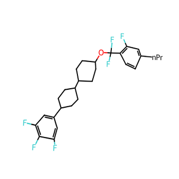 CCCc1ccc(C(F)(F)OC2CCC(C3CCC(c4cc(F)c(F)c(F)c4)CC3)CC2)c(F)c1